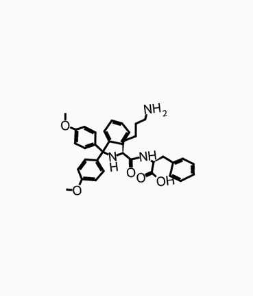 COc1ccc(C(N[C@@H](CCCCN)C(=O)N[C@@H](Cc2ccccc2)C(=O)O)(c2ccccc2)c2ccc(OC)cc2)cc1